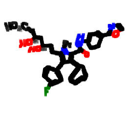 CC(C)n1c(C=C[C@@H](O)C[C@@H](O)CC(=O)O)c(-c2ccc(F)cc2)c(-c2ccccc2)c1C(=O)Nc1ccc(-c2ncco2)cc1